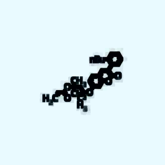 C=CC(=O)OC(C)(C)CC(C)Oc1ccc2cc(-c3ccccc3CCCC)c(=O)oc2c1